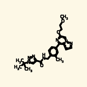 COCCOc1cn2nccc2c(-c2ccc(CNC(=O)c3cn(C(C)(C)C)nn3)c(C)c2)n1